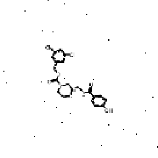 O=C(NC[C@@H]1CN(C(=O)OCc2cc(Cl)cc(Cl)c2)CCO1)c1ccc(O)cc1